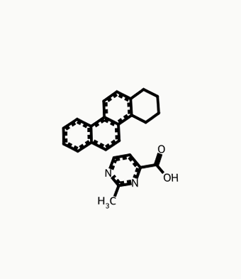 Cc1nccc(C(=O)O)n1.c1ccc2c(c1)ccc1c3c(ccc12)CCCC3